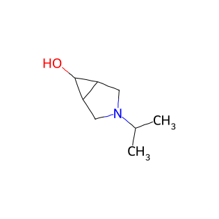 CC(C)N1CC2C(O)C2C1